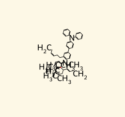 C=C/C=C\CCc1cc(-c2ccc(N(c3ccccc3)c3ccccc3)cc2)ccc1N(c1ccc(C)cc1)C(C)/C(=C\C=C)C(CC(C)(C)C)C(C)(C)C